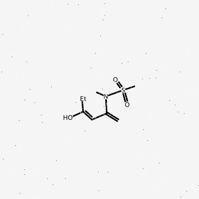 C=C(/C=C(/O)CC)N(C)S(C)(=O)=O